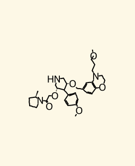 COCCCN1CCOc2ccc(CO[C@H]3CNC[C@@H](OCC(=O)N4CCC[C@H]4C)C3c3ccc(OC)cc3)cc21